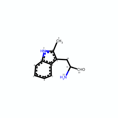 Cc1[nH]c2ccccc2c1CC(N)C=O